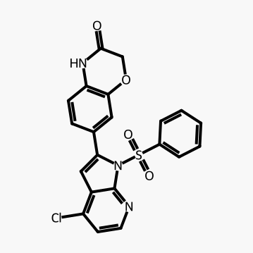 O=C1COc2cc(-c3cc4c(Cl)ccnc4n3S(=O)(=O)c3ccccc3)ccc2N1